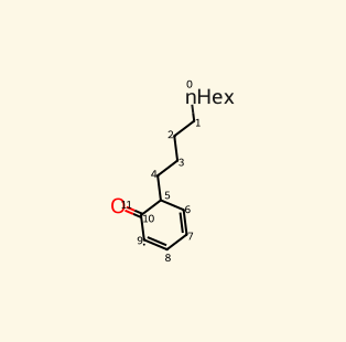 CCCCCCCCCCC1C=CC=[C]C1=O